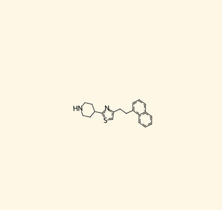 c1ccc2c(CCc3csc(C4CCNCC4)n3)cccc2c1